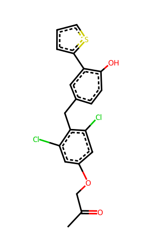 CC(=O)COc1cc(Cl)c(Cc2ccc(O)c(-c3cccs3)c2)c(Cl)c1